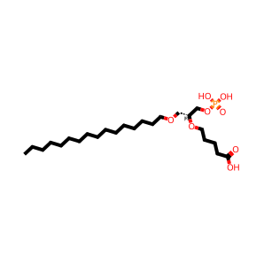 CCCCCCCCCCCCCCCCOC[C@H](COP(=O)(O)O)OCCCCC(=O)O